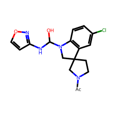 CC(=O)N1CCC2(C1)CN(C(O)Nc1ccon1)c1ccc(Cl)cc12